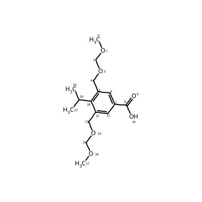 COCOCc1cc(C(=O)O)cc(COCOC)c1C(C)C